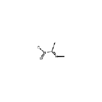 [CH2]/C(=N\C)[N+](=O)[O-]